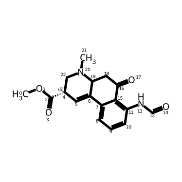 COC(=O)[C@H]1C=C2c3cccc(NC=O)c3C(=O)CC2N(C)C1